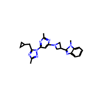 Cc1nc(N2CC(c3nc4ccccc4n3C)C2)cc(-n2nc(C)nc2CC2CC2)n1